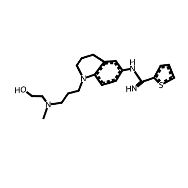 CN(CCO)CCCN1CCCc2cc(NC(=N)c3cccs3)ccc21